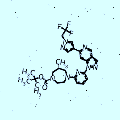 C[C@H]1CN(C(=O)OC(C)(C)C)CCN(c2cccc(-n3ncc4cnc(-c5cnn(CC(F)(F)F)c5)cc43)n2)C1